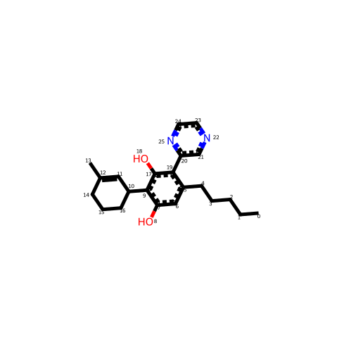 CCCCCc1cc(O)c(C2C=C(C)CCC2)c(O)c1-c1cnccn1